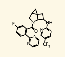 O=C(c1cc(F)ccc1-c1ncccn1)N1CC2CC23CC(Nc2ncc(C(F)(F)F)cn2)C13